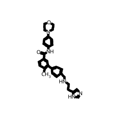 Cc1ccc(C(=O)Nc2ccc(N3CCOCC3)cc2)cc1-c1ccc(CNCCc2cnc[nH]2)cc1